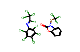 ClC(=Nc1c(Cl)c(Cl)c(Cl)c(Cl)c1Cl)C(Cl)(Cl)Cl.O=c1oc2ccccc2n1SC(Cl)(Cl)Cl